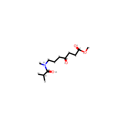 COC(=O)CCC(=O)CCCN(C)C(=O)C(C)C